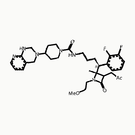 COCCN1C(=O)C(CC(C)=O)C1(C)[C@@H](CCCNC(=O)N1CCC(N2CNc3ncccc3C2)CC1)c1cccc(F)c1F